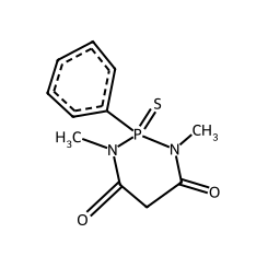 CN1C(=O)CC(=O)N(C)P1(=S)c1ccccc1